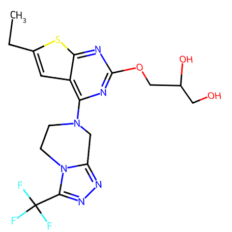 CCc1cc2c(N3CCn4c(nnc4C(F)(F)F)C3)nc(OCC(O)CO)nc2s1